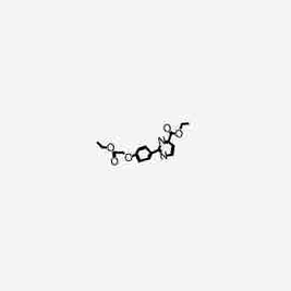 CCOC(=O)COc1ccc(-c2nccc(C(=O)OCC)n2)cc1